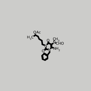 CC(=O)O[C@H](C)CCCCn1c(=O)c(N(C)C=O)c(N)n(Cc2ccccc2)c1=O